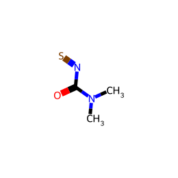 CN(C)C(=O)N=S